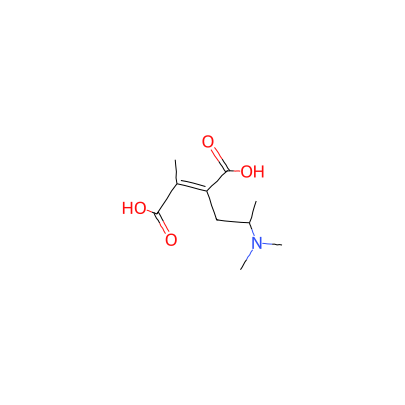 C/C(C(=O)O)=C(/CC(C)N(C)C)C(=O)O